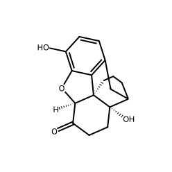 O=C1CC[C@]2(O)C3CCC[C@]24c2c(ccc(O)c2O[C@H]14)C3